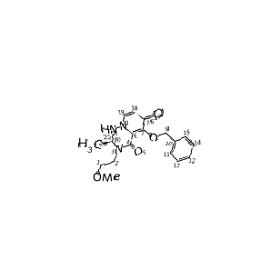 COCCN1C(=O)c2c(OCc3ccccc3)c(=O)ccn2N[C@@H]1C